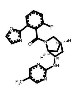 O=C(c1c(F)cccc1-c1ncco1)N1C[C@H]2C[C@@H](Nc3ncc(C(F)(F)F)cn3)[C@@H]1C2